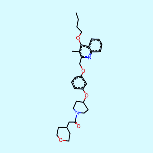 CCCCOc1c(C)c(COc2cccc(OC3CCN(C(=O)CC4CCOCC4)CC3)c2)nc2ccccc12